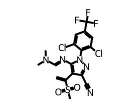 C=C(c1c(C#N)nn(-c2c(Cl)cc(C(F)(F)F)cc2Cl)c1N=CN(C)C)S(C)(=O)=O